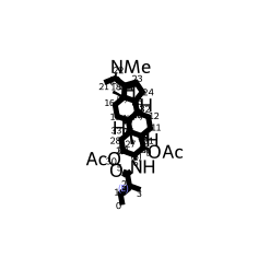 C/C=C(\C)C(=O)N[C@@H]1[C@H](OC(C)=O)[C@@H]2CC[C@@H]3[C@H](CC[C@]4(C)C([C@H](C)NC)=CC[C@@H]34)[C@@]2(C)C[C@@H]1OC(C)=O